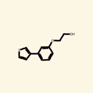 OCCOc1cccc(-c2ccsc2)c1